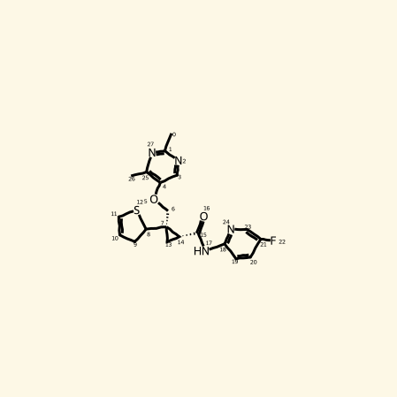 Cc1ncc(OC[C@@]2(C3CC=CS3)C[C@H]2C(=O)Nc2ccc(F)cn2)c(C)n1